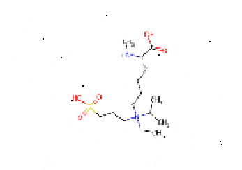 CC[N+](CCCC[C@H](NC)C(=O)O)(CCCS(=O)(=O)O)C(C)C